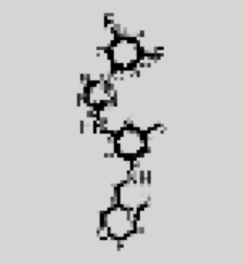 Cc1cc(NCC2COCCN2C)cc(Nc2ncn(-c3cc(F)cc(F)c3)n2)c1